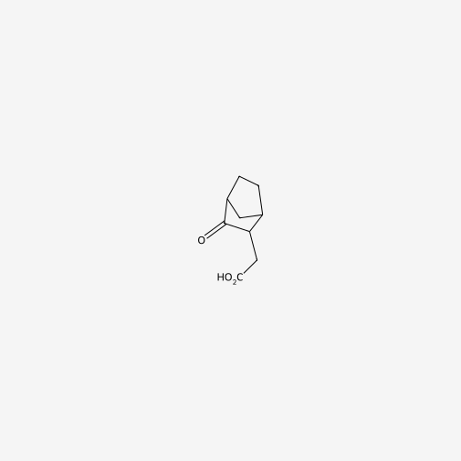 O=C(O)CC1C(=O)C2CCC1C2